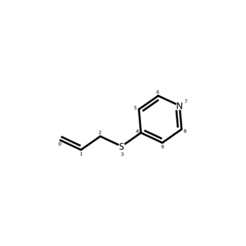 C=CCSc1ccncc1